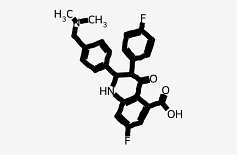 CN(C)Cc1ccc(C2Nc3cc(F)cc(C(=O)O)c3C(=O)C2c2ccc(F)cc2)cc1